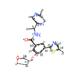 Cc1cnc(C(C)NC(=O)c2cc(O[C@@H]3CCOC3)cc(-c3ncc(C)s3)c2)cn1